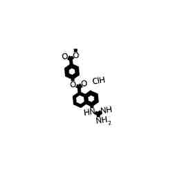 COC(=O)c1ccc(OC(=O)C2CCCc3c(NC(=N)N)cccc32)cc1.Cl